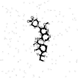 CCC(F)(F)c1cccc([C@@H](C)Nc2ncnc3nc(OC)c(N4CCS(=O)(=O)CC4)cc23)c1F